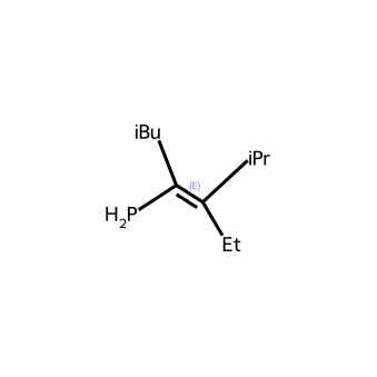 CC/C(=C(\P)C(C)CC)C(C)C